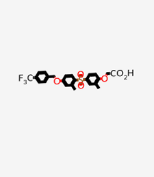 Cc1cc(S(=O)(=O)c2ccc(OCc3ccc(C(F)(F)F)cc3)cc2C)ccc1OCC(=O)O